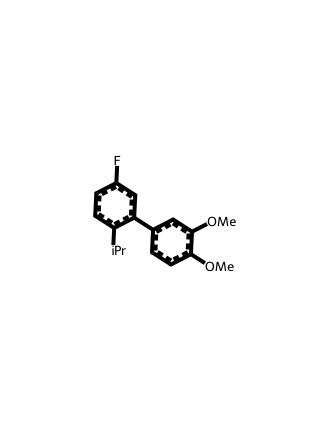 COc1ccc(-c2cc(F)ccc2C(C)C)cc1OC